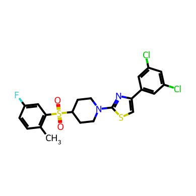 Cc1ccc(F)cc1S(=O)(=O)C1CCN(c2nc(-c3cc(Cl)cc(Cl)c3)cs2)CC1